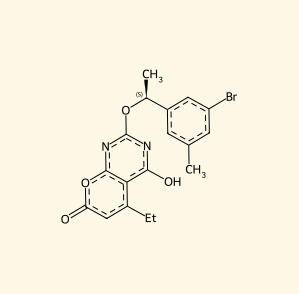 CCc1cc(=O)oc2nc(O[C@@H](C)c3cc(C)cc(Br)c3)nc(O)c12